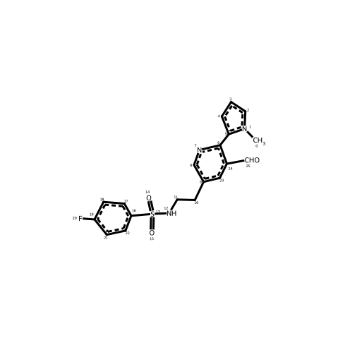 Cn1cccc1-c1ncc(CCNS(=O)(=O)c2ccc(F)cc2)cc1C=O